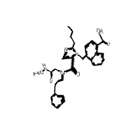 CCCCc1ncc(C(=O)N(CCc2ccccc2)CC(=O)NO)n1Cc1ccc(C(=O)O)c2ccccc12